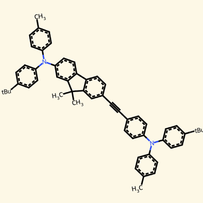 Cc1ccc(N(c2ccc(C#Cc3ccc4c(c3)C(C)(C)c3cc(N(c5ccc(C)cc5)c5ccc(C(C)(C)C)cc5)ccc3-4)cc2)c2ccc(C(C)(C)C)cc2)cc1